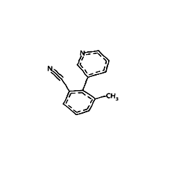 Cc1cccc(C#N)c1-c1cccnc1